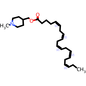 CC/C=C\C/C=C\C/C=C\C/C=C\C/C=C\CCCC(=O)OCC1CCN(C)CC1